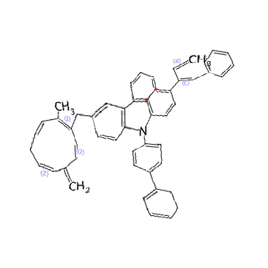 C=C1/C=C\CC=C/C(C)=C(Cc2ccc(N(c3ccc(C4=CC=CCC4)cc3)c3ccc(C(/C=C\C)=C/c4ccccc4)cc3)c(-c3ccccc3)c2)\C=C/1